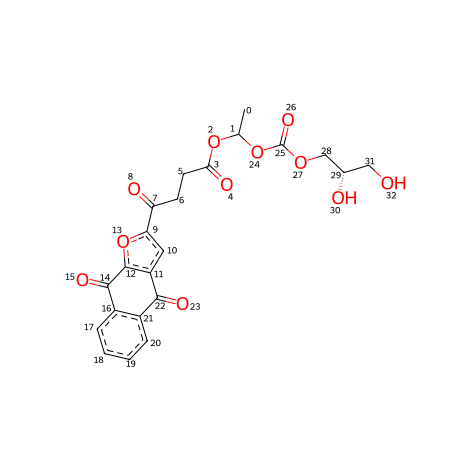 CC(OC(=O)CCC(=O)c1cc2c(o1)C(=O)c1ccccc1C2=O)OC(=O)OC[C@@H](O)CO